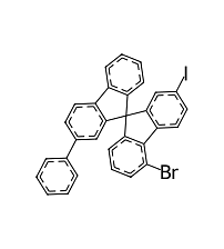 Brc1cccc2c1-c1ccc(I)cc1C21c2ccccc2-c2ccc(-c3ccccc3)cc21